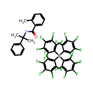 Cc1ccccc1C(=O)[I+]C(C)(C)c1ccccc1.Fc1c(F)c(F)c([B-](c2c(F)c(F)c(F)c(F)c2F)(c2c(F)c(F)c(F)c(F)c2F)c2c(F)c(F)c(F)c(F)c2F)c(F)c1F